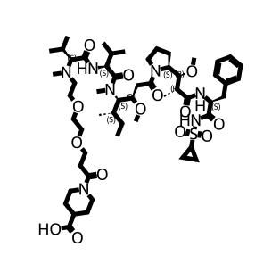 CC[C@H](C)[C@@H]([C@@H](CC(=O)N1CCC[C@H]1[C@H](OC)[C@@H](C)C(=O)N[C@@H](Cc1ccccc1)C(=O)NS(=O)(=O)C1CC1)OC)N(C)C(=O)[C@@H](NC(=O)[C@H](C(C)C)N(C)CCOCCOCCC(=O)N1CCC(C(=O)O)CC1)C(C)C